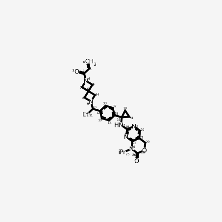 C=CC(=O)N1CC2(C1)CN(C(CC)c1ccc(C3(Nc4ncc5c(n4)N(C(C)C)C(=O)OC5)CC3)cc1)C2